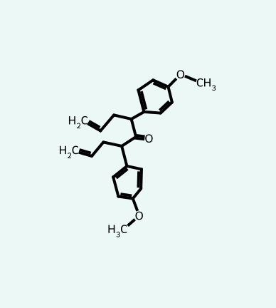 C=CCC(C(=O)C(CC=C)c1ccc(OC)cc1)c1ccc(OC)cc1